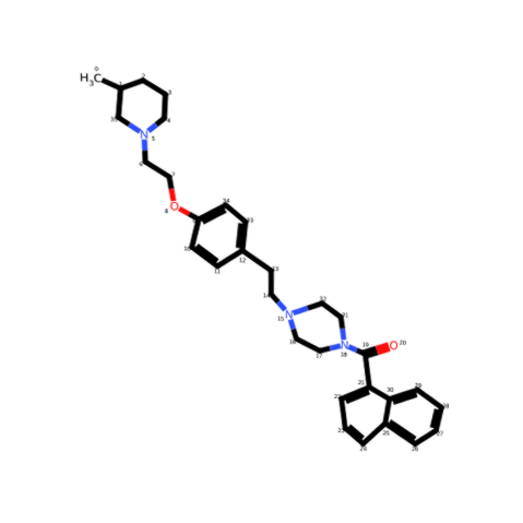 CC1CCCN(CCOc2ccc(CCN3CCN(C(=O)c4cccc5ccccc45)CC3)cc2)C1